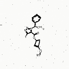 CC(C)O[C@H]1C[C@@H](OC(=O)c2c(F)nnn2[C@H](C)c2ccccc2)C1